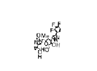 CO[C@@H]1[C@@H](n2cc(-c3ccc(F)c(F)c3F)nn2)[C@@H](O)[C@@H](CO)O[C@@H]1Cn1cc(C2(CO)CC2)nn1